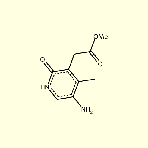 COC(=O)Cc1c(C)c(N)c[nH]c1=O